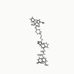 O=C(OC1CCN(CCCn2nnc3cc(CNC[C@H](O)c4ccc(O)c5[nH]c(=O)ccc45)c4c(c32)CCC4)CC1)C(O)(c1cccs1)c1ccc(Br)s1